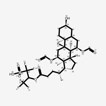 C[C@H](CCC(=O)OC(C(F)(F)F)C(F)(F)S(=O)(=O)O)[C@H]1CC[C@H]2[C@@H]3[C@H](OC=O)CC4C[C@H](O)CC[C@]4(C)[C@H]3C[C@H](OC=O)[C@]12C